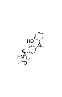 CC(=O)NS(=O)(=O)c1ccc(N(C)c2ccccc2O)cc1